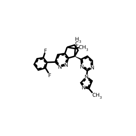 Cc1cn(-c2nccc([C@@]34CCC(c5cc(-c6c(F)cccc6F)nnc53)C4(C)C)n2)cn1